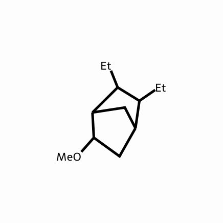 CCC1C2CC(OC)C(C2)C1CC